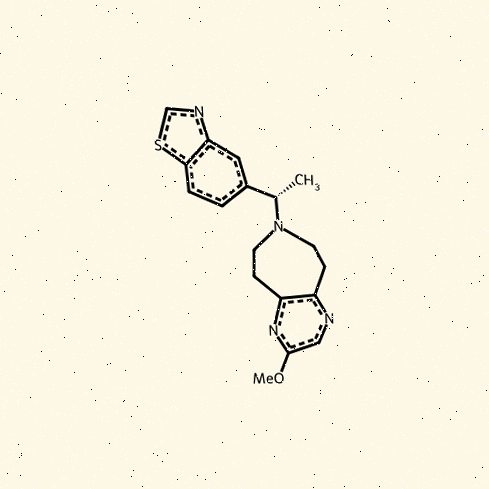 COc1cnc2c(n1)CCN([C@@H](C)c1ccc3scnc3c1)CC2